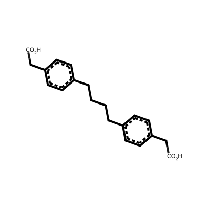 O=C(O)Cc1ccc(CCCCc2ccc(CC(=O)O)cc2)cc1